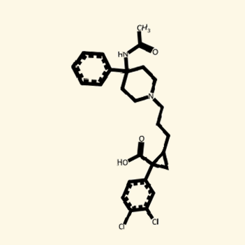 CC(=O)NC1(c2ccccc2)CCN(CCCC2CC2(C(=O)O)c2ccc(Cl)c(Cl)c2)CC1